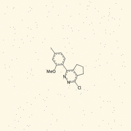 COc1cc(C)ccc1-c1nnc(Cl)c2c1CCC2